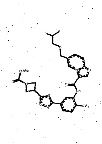 COC(=O)N1CC(c2nc(-c3ccc(C)c(NC(=O)c4cnc5ccc(COCC(F)F)cn45)c3)no2)C1